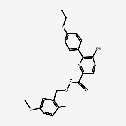 CCOc1ccc(-c2nc(C(=O)NOCc3cc(OC)ccc3F)cnc2O)cn1